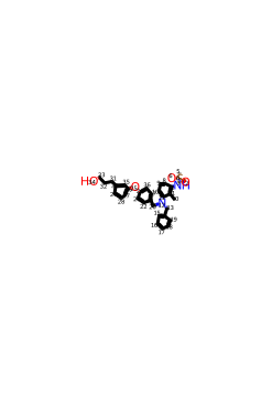 Cc1c(NS(C)(=O)=O)cccc1N(Cc1ccccc1)Cc1ccc(Oc2cccc(CCCO)c2)cc1